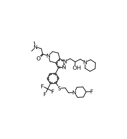 CN(C)CC(=O)N1CCc2c(c(-c3ccc(C(F)(F)F)c(SCCN4CCC(F)CC4)c3)nn2CC(O)CN2CCCCC2)C1